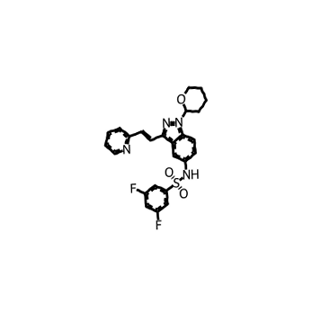 O=S(=O)(Nc1ccc2c(c1)c(C=Cc1ccccn1)nn2C1CCCCO1)c1cc(F)cc(F)c1